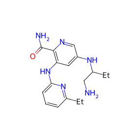 CCc1cccc(Nc2cc(NC(CC)CN)cnc2C(N)=O)n1